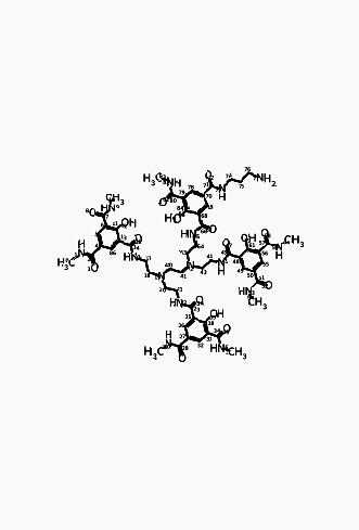 CNC(=O)c1cc(C(=O)NC)c(O)c(C(=O)NCCN(CCNC(=O)c2cc(C(=O)NC)cc(C(=O)NC)c2O)CCN(CCNC(=O)c2cc(C(=O)NC)cc(C(=O)NC)c2O)CCNC(=O)c2cc(C(=O)NCCCN)cc(C(=O)NC)c2O)c1